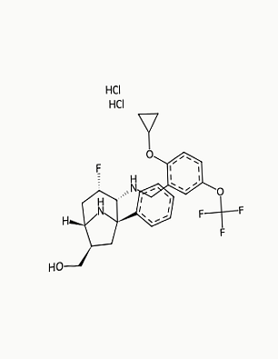 Cl.Cl.OC[C@@H]1C[C@]2(c3ccccc3)N[C@H]1C[C@H](F)[C@@H]2NCc1cc(OC(F)(F)F)ccc1OC1CC1